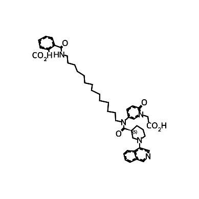 O=C(O)Cn1cc(N(CCCCCCCCCCCCCCNC(=O)c2ccccc2C(=O)O)C(=O)[C@H]2CCCN(c3cncc4ccccc34)C2)ccc1=O